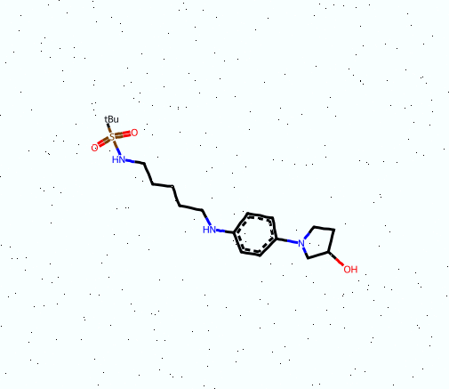 CC(C)(C)S(=O)(=O)NCCCCCNc1ccc(N2CCC(O)C2)cc1